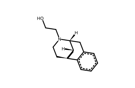 OCCN1CC[C@]23CCCC[C@H]2[C@H]1Cc1ccccc13